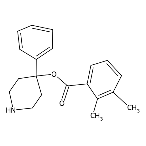 Cc1cccc(C(=O)OC2(c3ccccc3)CCNCC2)c1C